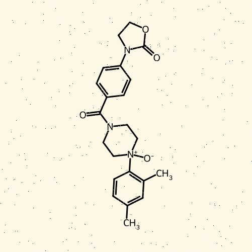 Cc1ccc([N+]2([O-])CCN(C(=O)c3ccc(N4CCOC4=O)cc3)CC2)c(C)c1